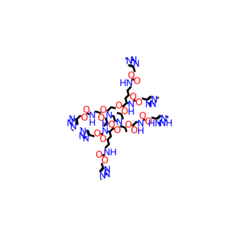 CCC(OC(=O)CNC(=O)OCc1cn(C)nn1)N(CCN(CC(C)OC(=O)CNC(=O)OCC1=CN(C)NN1)CC(C)OC(=O)C(CCCCNC(=O)OCc1cn(C)nn1)NC(=O)OCc1cn(C)nn1)CC(C)OC(=O)C(CCCCNC(=O)OCc1cn(C)nn1)NC(=O)OCc1cn(C)nn1